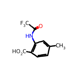 Cc1ccc(C(=O)O)c(NC(=O)C(F)(F)F)c1